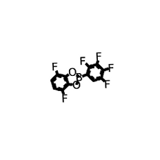 Fc1cc(B2Oc3c(F)ccc(F)c3O2)c(F)c(F)c1F